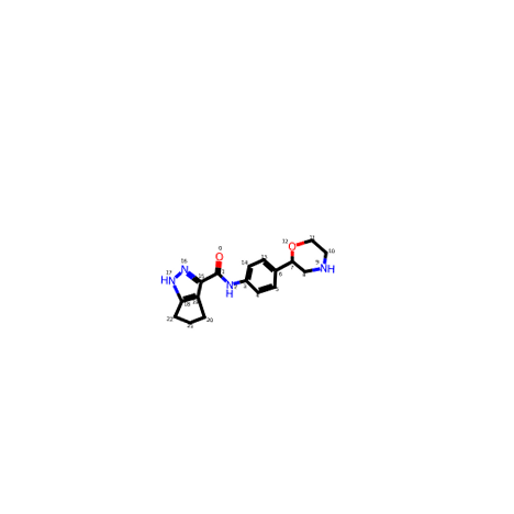 O=C(Nc1ccc(C2CNCCO2)cc1)c1n[nH]c2c1CCC2